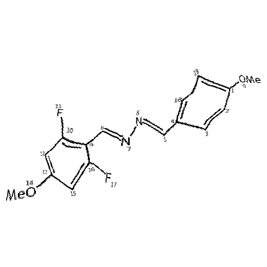 COc1ccc(C=NN=Cc2c(F)cc(OC)cc2F)cc1